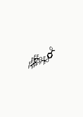 CC(=O)c1ccc(OC(F)(F)C(F)OC(F)(OC(F)(F)C(F)(F)C(F)(F)F)C(F)(F)F)cc1